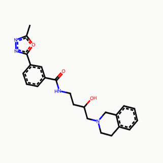 Cc1nnc(-c2cccc(C(=O)NCCC(O)CN3CCc4ccccc4C3)c2)o1